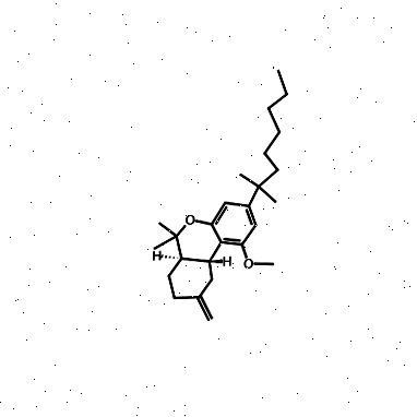 C=C1CC[C@@H]2[C@@H](C1)c1c(OC)cc(C(C)(C)CCCCCC)cc1OC2(C)C